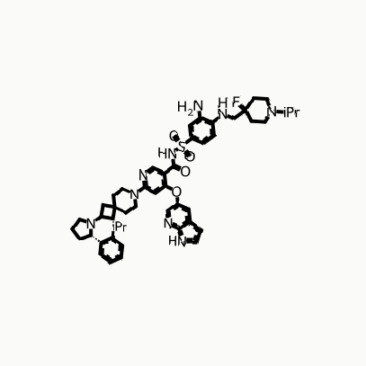 CC(C)c1ccccc1[C@@H]1CCCN1C1CC2(CCN(c3cc(Oc4cnc5[nH]ccc5c4)c(C(=O)NS(=O)(=O)c4ccc(NCC5(F)CCN(C(C)C)CC5)c(N)c4)cn3)CC2)C1